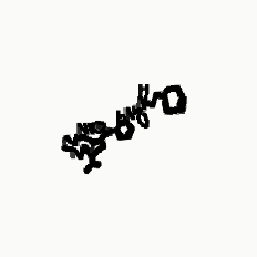 CC(C)c1cc(C(=O)c2cccc(NC(=O)NCCc3ccccc3)c2)c2c(N)ncnn12